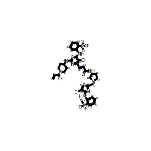 C=CC(=O)N1CCC(Nc2nc(/C=C/C(=O)N[C@@H]3CCN(Cc4ncc(Cl)c(Nc5ccccc5P(C)(C)=O)n4)C3)c(Cl)c(Nc3ccccc3P(C)(C)=O)n2)CC1